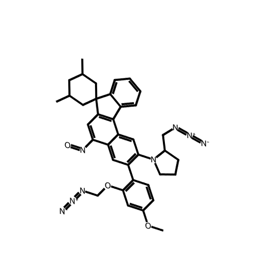 COc1ccc(-c2cc3c(N=O)cc4c(c3cc2N2CCCC2CN=[N+]=[N-])-c2ccccc2C42CC(C)CC(C)C2)c(OCN=[N+]=[N-])c1